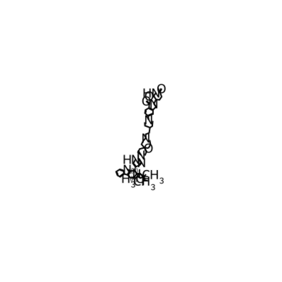 C[C@@H]1Cc2c([nH]c3ccccc23)[C@@H](c2cnc(N3CCC4(CCN(CCC5CCN(c6ccc7c(c6)CN(C6CCC(=O)NC6=O)C7=O)CC5)CCO4)CC3)nc2)N1CC(C)(C)F